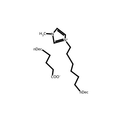 CCCCCCCCCCCCCC(=O)[O-].CCCCCCCCCCCCCCCC[n+]1ccn(C)c1